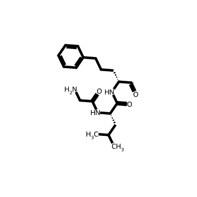 CC(C)C[C@H](NC(=O)CN)C(=O)N[C@@H]([C]=O)CCCc1ccccc1